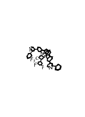 Fc1cc(F)cc(-c2cc(-n3c4ccccc4c4ccc(-c5ccnc(-c6ccccc6)c5)cc43)c(-n3c4ccccc4c4ccc(-c5ccnc(-c6ccccc6)c5)cc43)cc2C(F)(F)F)c1